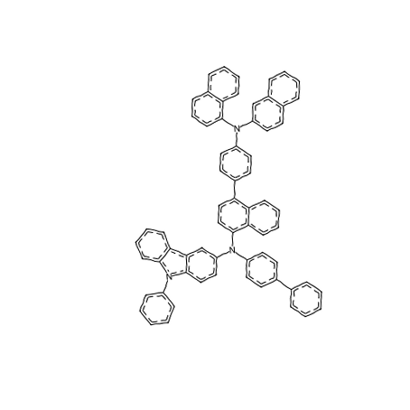 c1ccc(-c2ccc(N(c3ccc4c(c3)c3ccccc3n4-c3ccccc3)c3ccc(-c4ccc(N(c5ccc6ccccc6c5)c5cccc6ccccc56)cc4)c4ccccc34)cc2)cc1